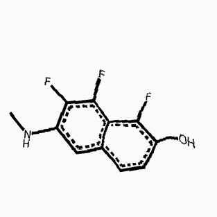 CNc1cc2ccc(O)c(F)c2c(F)c1F